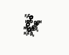 Cc1nc(N[C@H]2CC[C@@H](NC(=O)c3cccc(C(F)(F)F)c3)CC2)nc(N(C)C)c1C.O=C(O)C(F)(F)F